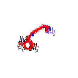 CO[C@H]1C[C@@H]2CC[C@@H](C)[C@@](O)(O2)C(=O)C(=O)N2CCCC[C@H]2C(=O)O[C@H]([C@H](N)C[C@@H]2CC[C@@H](OCCCCc3cn(CCOCCOCCOCCOCCOCCOCCC(=O)N4CC(Cn5nc(-c6ccc7oc(N)nc7c6)c6c(N)ncnc65)C4)nn3)[C@H](OC)C2)CC(=O)[C@H](C)/C=C(\C)[C@@H](O)[C@@H](O)C(=O)[C@H](C)C[C@H](C)/C=C/C=C/C=C/1C